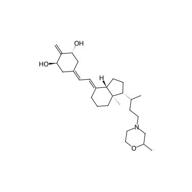 C=C1[C@H](O)CC(=CC=C2CCC[C@]3(C)[C@@H](C(C)CCN4CCOC(C)C4)CC[C@@H]23)C[C@H]1O